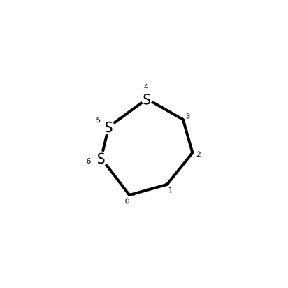 [CH]1CCCSSS1